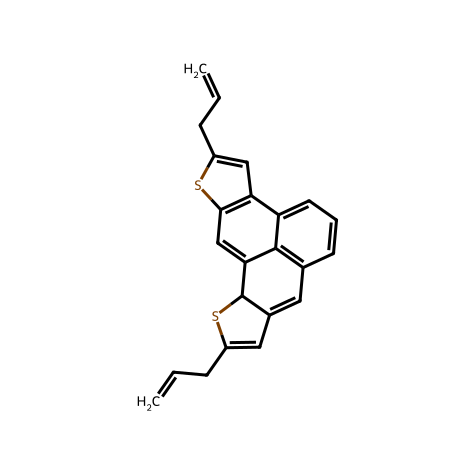 C=CCC1=CC2=Cc3cccc4c3c(cc3sc(CC=C)cc34)C2S1